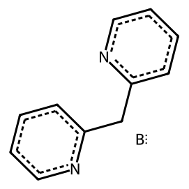 [B].c1ccc(Cc2ccccn2)nc1